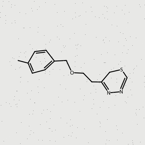 Cc1ccc(COCCC2=NN=CSC2)cc1